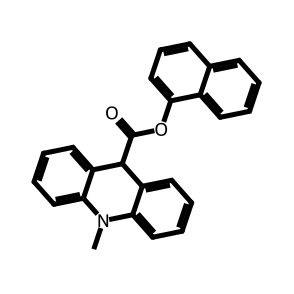 CN1c2ccccc2C(C(=O)Oc2cccc3ccccc23)c2ccccc21